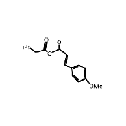 COc1ccc(C=CC(=O)OC(=O)CC(C)C)cc1